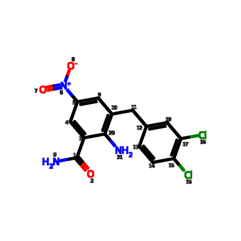 NC(=O)c1cc([N+](=O)[O-])cc(Cc2ccc(Cl)c(Cl)c2)c1N